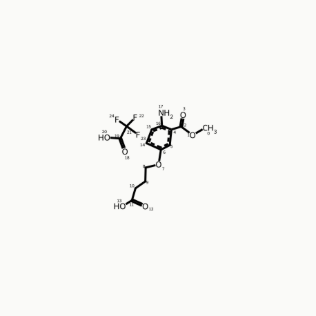 COC(=O)c1cc(OCCCC(=O)O)ccc1N.O=C(O)C(F)(F)F